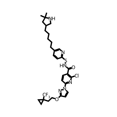 CC1(C)CC(CCCCCc2ccc(SNC(=O)c3ccc(-n4ccc(OCCC5(C(F)(F)F)CC5)n4)nc3Cl)nc2)CN1